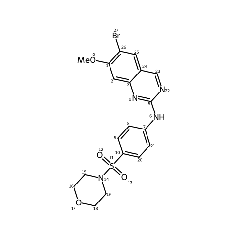 COc1cc2nc(Nc3ccc(S(=O)(=O)N4CCOCC4)cc3)ncc2cc1Br